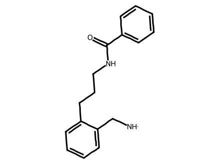 [NH]Cc1ccccc1CCCNC(=O)c1ccccc1